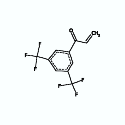 C=CC(=O)c1cc(C(F)(F)F)cc(C(F)(F)F)c1